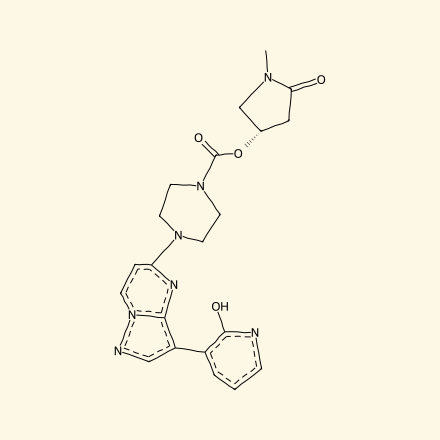 CN1C[C@@H](OC(=O)N2CCN(c3ccn4ncc(-c5cccnc5O)c4n3)CC2)CC1=O